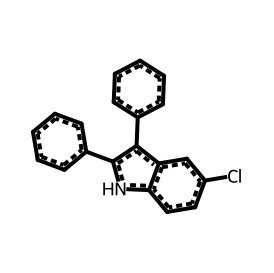 Clc1ccc2[nH]c(-c3ccccc3)c(-c3ccccc3)c2c1